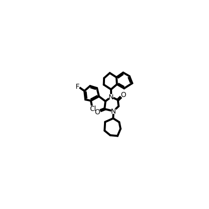 O=C1C(c2ccc(F)cc2Cl)N(C2CCCc3ccccc32)C(=O)CN1C1CCCCCC1